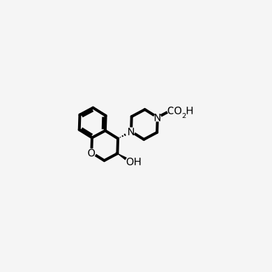 O=C(O)N1CCN([C@H]2c3ccccc3OC[C@@H]2O)CC1